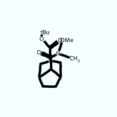 CON(C)C(=O)C1C2CCC1CN(C(=O)OC(C)(C)C)C2